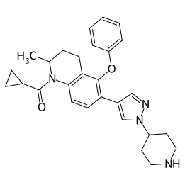 CC1CCc2c(ccc(-c3cnn(C4CCNCC4)c3)c2Oc2ccccc2)N1C(=O)C1CC1